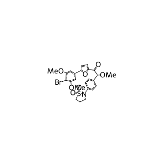 COc1cc(-c2ccc(C(=O)C(OC)c3ccc(N4CCCS4(=O)=O)cc3)o2)cc(OC)c1Br